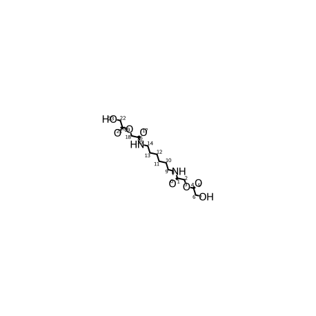 O=C(COC(=O)CO)NCCCCCCNC(=O)COC(=O)CO